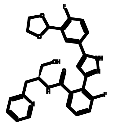 O=C(N[C@@H](CO)Cc1ccccn1)c1cccc(F)c1-c1cc(-c2ccc(F)c(C3OCCO3)c2)[nH]n1